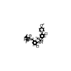 COC1CCN(c2cc3c(cc2Cl)nc(Nc2cc(CNC(=O)C4(C(F)(F)F)CC4)ccc2Cl)n3C)CC1